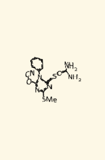 CSc1nc(OC#N)n(-c2ccccc2)c(=S)n1.NC(N)=O